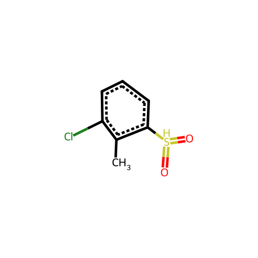 Cc1c(Cl)cccc1[SH](=O)=O